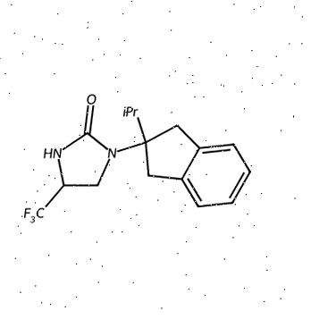 CC(C)C1(N2CC(C(F)(F)F)NC2=O)Cc2ccccc2C1